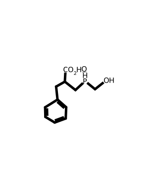 O=C(O)C(Cc1ccccc1)C[PH](=O)CO